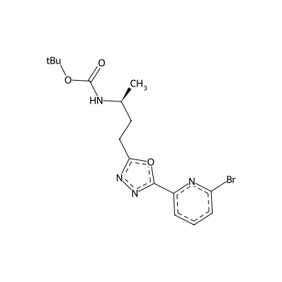 C[C@@H](CCc1nnc(-c2cccc(Br)n2)o1)NC(=O)OC(C)(C)C